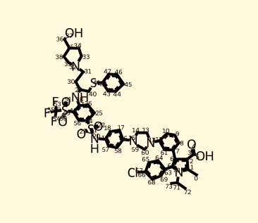 Cc1c(C(=O)O)c(-c2cccc(N3CCN(c4ccc(NS(=O)(=O)c5ccc(NC(CCN6CCC(CO)CC6)CSc6ccccc6)c(S(=O)(=O)C(F)(F)F)c5)cc4)CC3)c2)c(-c2ccc(Cl)cc2)n1C(C)C